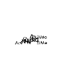 C=C(CNC1CCCCC1Nc1ncc2c(n1)N(CC1CC1)C(=O)N(c1cc(OC)cc(OC)c1Cl)C2)C(C)=O